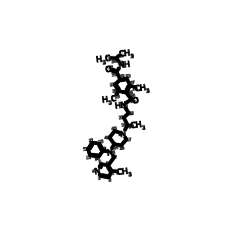 Cc1ccncc1CN(c1ccccc1)C1CCN([C@H](C)CCNC(=O)c2c(C)cc(C(=O)NC(C)C)cc2C)CC1